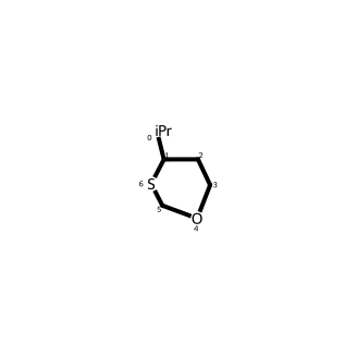 CC(C)C1CCOCS1